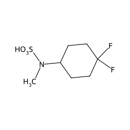 CN(C1CCC(F)(F)CC1)S(=O)(=O)O